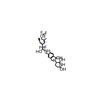 C#C/C=C(\C=C(\C)COC(F)(F)F)C(F)(F)[C@H](O)NCc1ccc2c(c1)CN(C1CC[C@H](O)N[C@@H]1O)[C@H]2O